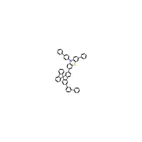 c1ccc(-c2ccc(N3c4ccc(-c5ccccc5)cc4Sc4cc(-c5ccc6c(c5)C5(c7ccccc7-c7ccccc75)c5ccc(-c7cccc(-c8ccccc8)c7)cc5-6)ccc43)cc2)cc1